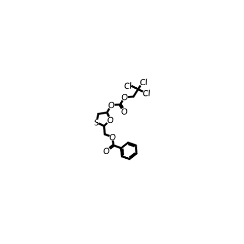 O=C(OCC(Cl)(Cl)Cl)OC1CSC(COC(=O)c2ccccc2)O1